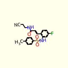 Cc1ccc(S(=O)(=O)Nc2cc(F)ccc2/C=C/C(=O)NCCC#N)cc1